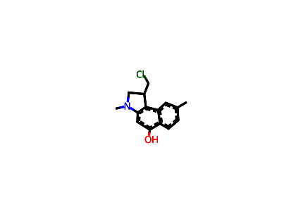 Cc1ccc2c(O)cc3c(c2c1)C(CCl)CN3C